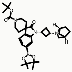 CC(C)(C)OC(=O)N1CCC2(CC1)C(=O)N([C@H]1C[C@@H](N3C[C@H]4CC[C@@H]3C4)C1)c1cc(B3OC(C)(C)C(C)(C)O3)ccc12